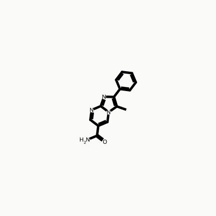 Cc1c(-c2ccccc2)nc2ncc(C(N)=O)cn12